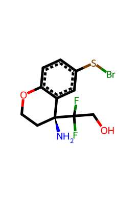 N[C@@]1(C(F)(F)CO)CCOc2ccc(SBr)cc21